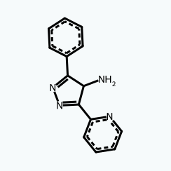 NC1C(c2ccccc2)=NN=C1c1ccccn1